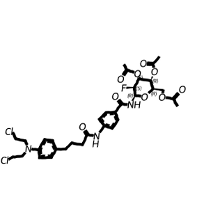 CC(=O)OC[C@H]1O[C@@H](NC(=O)c2ccc(NC(=O)CCCc3ccc(N(CCCl)CCCl)cc3)cc2)[C@@H](F)[C@@H](OC(C)=O)[C@@H]1OC(C)=O